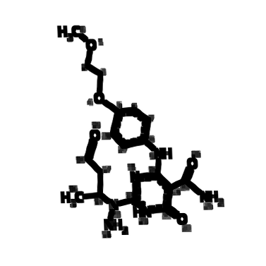 COCCOc1ccc(Nc2nc(N(N)C(C)CC=O)[nH]c(=O)c2C(N)=O)cc1